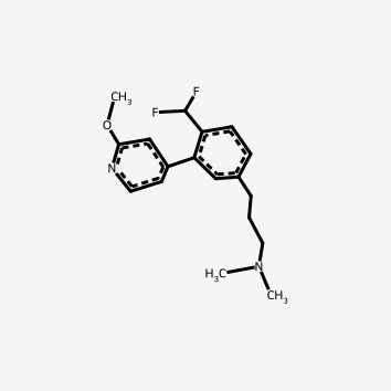 COc1cc(-c2cc(CCCN(C)C)ccc2C(F)F)ccn1